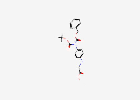 COC(=O)CNc1ccc(N(C(=O)OCc2ccccc2)C(=O)OC(C)(C)C)cc1